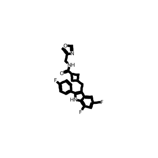 O=C(NCc1cocn1)C1CC(Cc2c(-c3ccc(F)cc3)[nH]c3c(F)cc(F)cc23)C1